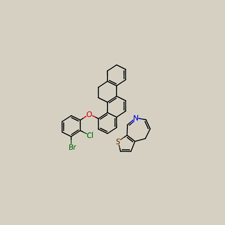 C1=CN=Cc2sccc2C1.Clc1c(Br)cccc1Oc1cccc2ccc3c(c12)CCC1=C3C=CCC1